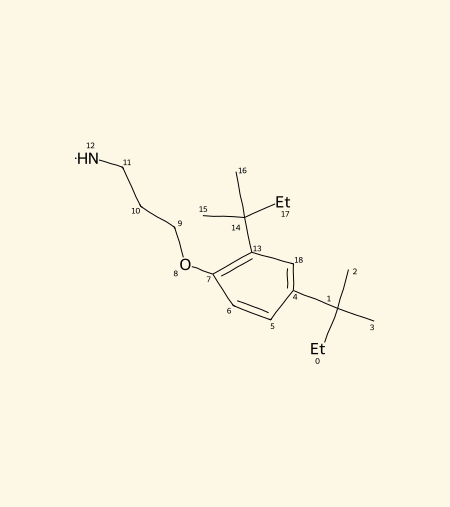 CCC(C)(C)c1ccc(OCCC[NH])c(C(C)(C)CC)c1